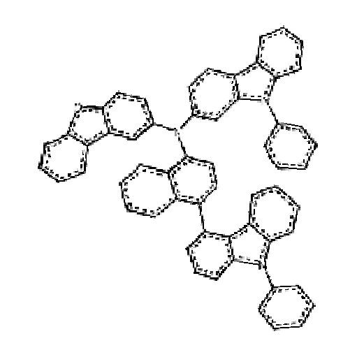 c1ccc(-n2c3ccccc3c3ccc(N(c4ccc5oc6ccccc6c5c4)c4ccc(-c5cccc6c5c5ccccc5n6-c5ccccc5)c5ccccc45)cc32)cc1